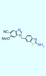 COc1cc2c(cc1C#N)ncn2Cc1ccc2nc(N)sc2c1